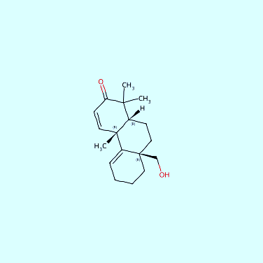 CC1(C)C(=O)C=C[C@@]2(C)C3=CCCC[C@@]3(CO)CC[C@@H]12